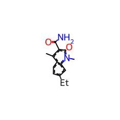 CCc1ccc2c(C)c(C(N)=O)c(=O)n(C)c2c1